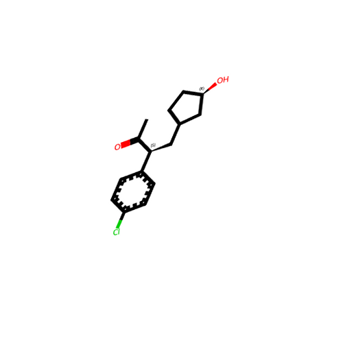 CC(=O)[C@@H](CC1CC[C@@H](O)C1)c1ccc(Cl)cc1